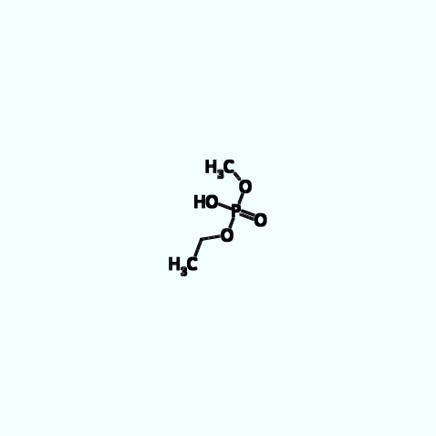 CCOP(=O)(O)OC